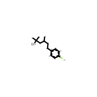 CCC(C)(C)CC(C)CCc1ccc(F)cc1